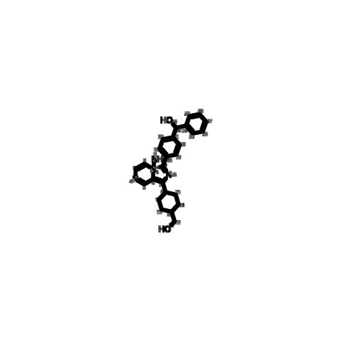 N[N+]12C=CN=CC1=C(C1CCC(CO)CC1)N=C2c1ccc(C(O)c2ccccc2)cc1